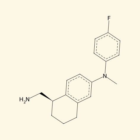 CN(c1ccc(F)cc1)c1ccc2c(c1)CCC[C@H]2CN